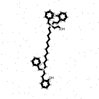 OCC[N+](CCCCCCCCCCCCN(CCc1ccccc1O)Cc1ccccc1)(CCc1ccccc1O)Cc1ccccc1